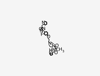 C[C@H](NC(=O)c1ccco1)C(=O)N1CCCN(CCCOc2ccc(-c3noc(Cc4ccccn4)n3)c(F)c2)CC1